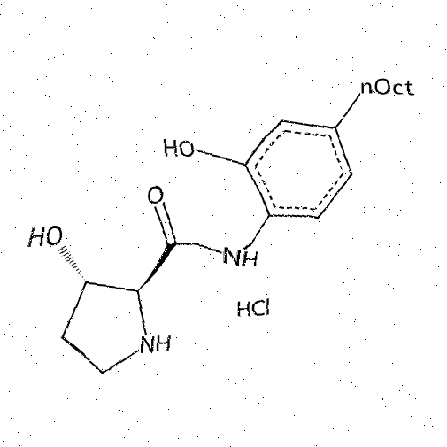 CCCCCCCCc1ccc(NC(=O)[C@H]2NCC[C@@H]2O)c(O)c1.Cl